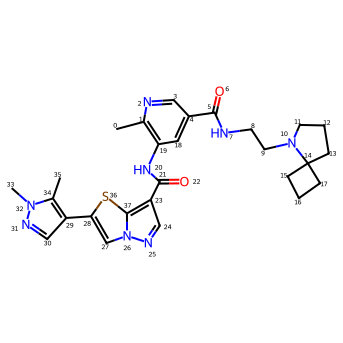 Cc1ncc(C(=O)NCCN2CCCC23CCC3)cc1NC(=O)c1cnn2cc(-c3cnn(C)c3C)sc12